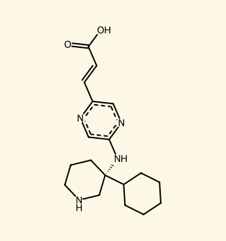 O=C(O)/C=C/c1cnc(N[C@@]2(C3CCCCC3)CCCNC2)cn1